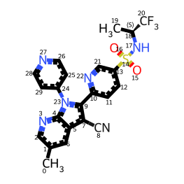 Cc1cnc2c(c1)c(C#N)c(-c1ccc(S(=O)(=O)N[C@@H](C)C(F)(F)F)cn1)n2-c1ccncc1